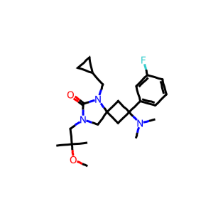 COC(C)(C)CN1CC2(CC(c3cccc(F)c3)(N(C)C)C2)N(CC2CC2)C1=O